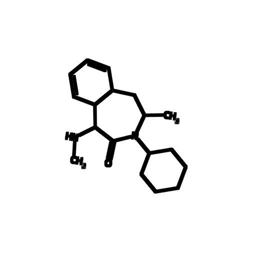 CNC1C(=O)N(C2CCCCC2)C(C)CC2C=CC=CC21